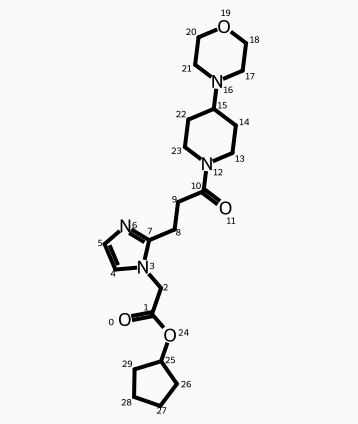 O=C(Cn1ccnc1CCC(=O)N1CCC(N2CCOCC2)CC1)OC1CCCC1